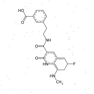 CNC1=c2[nH]c(=O)c(C(=O)NCCc3cccc(C(=O)O)c3)cc2=CC(F)C1